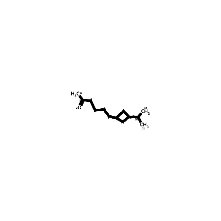 CC(=O)CCCCC1CC(C(C)C)C1